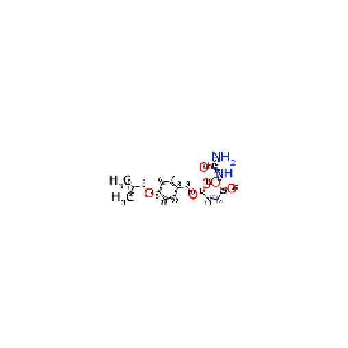 CC(C)COc1ccc(COC(=O)/C=C\C(=O)ONC(N)=O)cc1